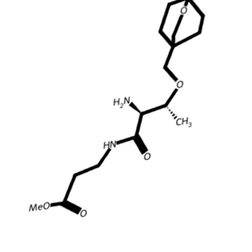 COC(=O)CCNC(=O)[C@@H](N)[C@@H](C)OCC12CCC(CC1)OC2